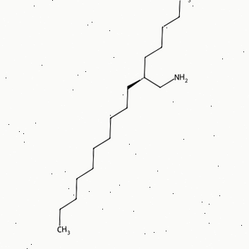 CCCCCCCCCC[C@H](CN)CCCCC